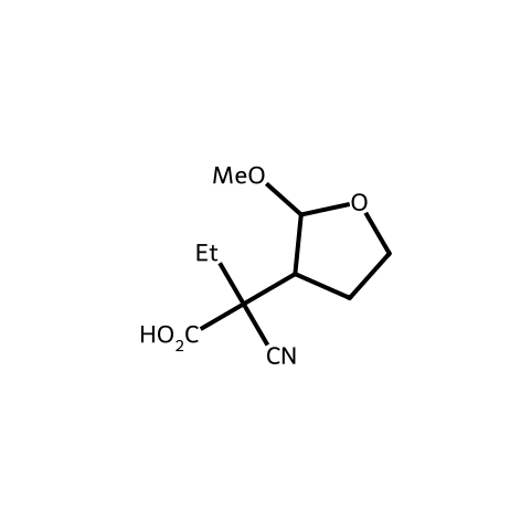 CCC(C#N)(C(=O)O)C1CCOC1OC